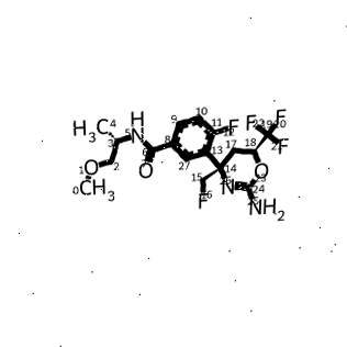 COC[C@H](C)NC(=O)c1ccc(F)c([C@]2(CF)C[C@@H](C(F)(F)F)OC(N)=N2)c1